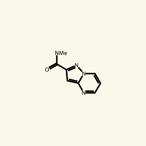 CNC(=O)c1cc2ncccn2n1